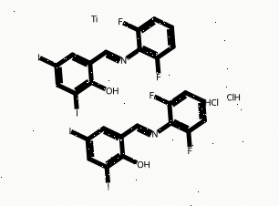 Cl.Cl.Oc1c(I)cc(I)cc1C=Nc1c(F)cccc1F.Oc1c(I)cc(I)cc1C=Nc1c(F)cccc1F.[Ti]